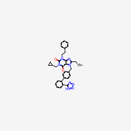 CC(C)(C)Cc1nc2c(c(=O)n(CC3CC3)c(=O)n2CCc2ccccc2)n1Cc1ccc(-c2ccccc2-c2nnn[nH]2)cc1